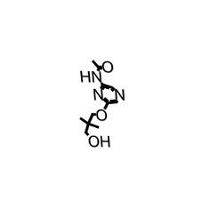 CC(=O)Nc1cncc(OCC(C)(C)CO)n1